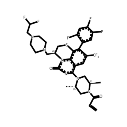 C=CC(=O)N1C[C@H](C)N(c2nc(=O)n3c4c(c(-c5cc(F)c(F)cc5F)c(C(F)(F)F)cc24)SC[C@@H]3CN2CCN(CC(F)F)CC2)C[C@H]1C